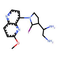 COc1ccc2nccc(N3CCC(C(N)CN)C3I)c2n1